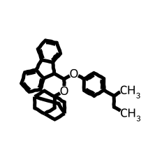 CCC(C)c1ccc(OC(OC23CC4CC(CC(C4)C2)C3)C2c3ccccc3-c3ccccc32)cc1